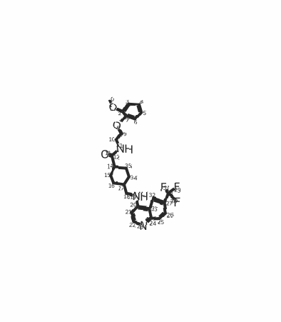 COc1ccccc1OCCNC(=O)C1CCC(CNc2ccnc3ccc(C(F)(F)F)cc23)CC1